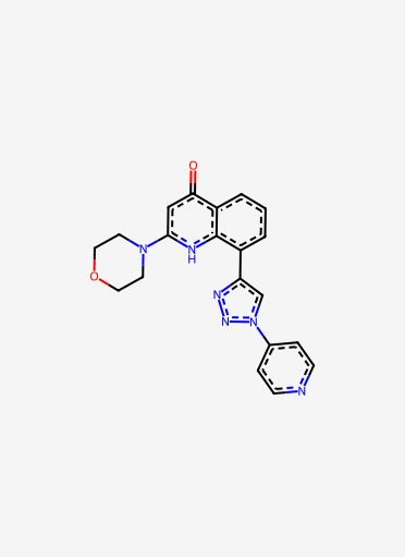 O=c1cc(N2CCOCC2)[nH]c2c(-c3cn(-c4ccncc4)nn3)cccc12